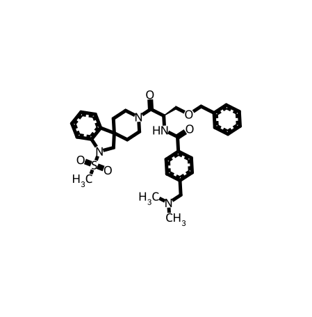 CN(C)Cc1ccc(C(=O)N[C@H](COCc2ccccc2)C(=O)N2CCC3(CC2)CN(S(C)(=O)=O)c2ccccc23)cc1